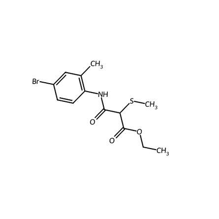 CCOC(=O)C(SC)C(=O)Nc1ccc(Br)cc1C